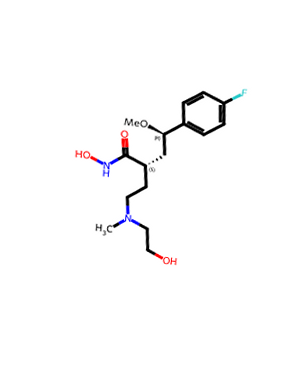 CO[C@H](C[C@H](CCN(C)CCO)C(=O)NO)c1ccc(F)cc1